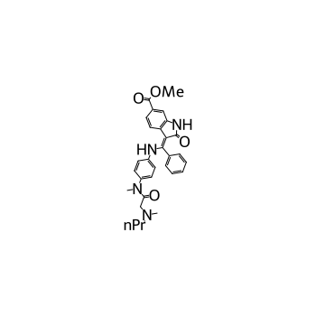 CCCN(C)CC(=O)N(C)c1ccc(NC(=C2C(=O)Nc3cc(C(=O)OC)ccc32)c2ccccc2)cc1